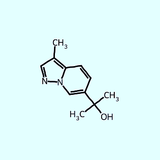 Cc1cnn2cc(C(C)(C)O)ccc12